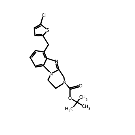 CC(C)(C)OC(=O)N1CCn2c(nc3c(Cc4ccc(Cl)s4)cccc32)C1